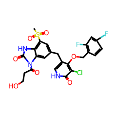 CS(=O)(=O)c1cc(Cc2c[nH]c(=O)c(Cl)c2OCc2ccc(F)cc2F)cc2c1[nH]c(=O)n2C(=O)CCO